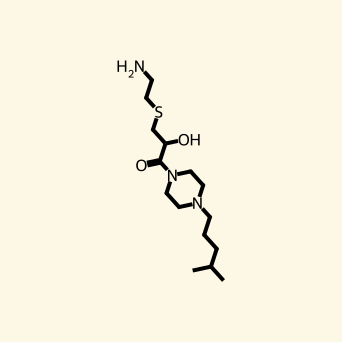 CC(C)CCCN1CCN(C(=O)C(O)CSCCN)CC1